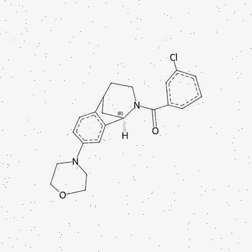 O=C(c1cccc(Cl)c1)N1CCC2C[C@@H]1c1cc(N3CCOCC3)ccc12